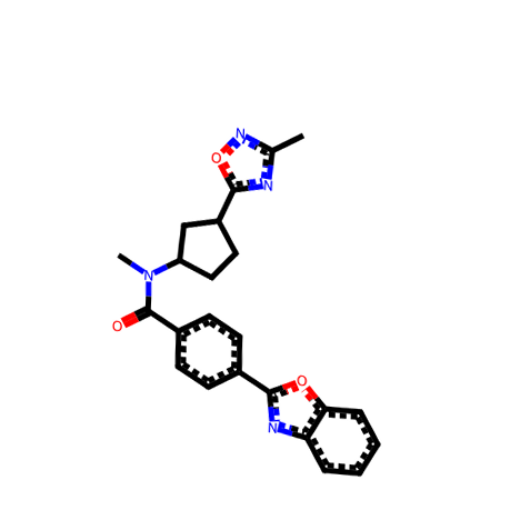 Cc1noc(C2CCC(N(C)C(=O)c3ccc(-c4nc5ccccc5o4)cc3)C2)n1